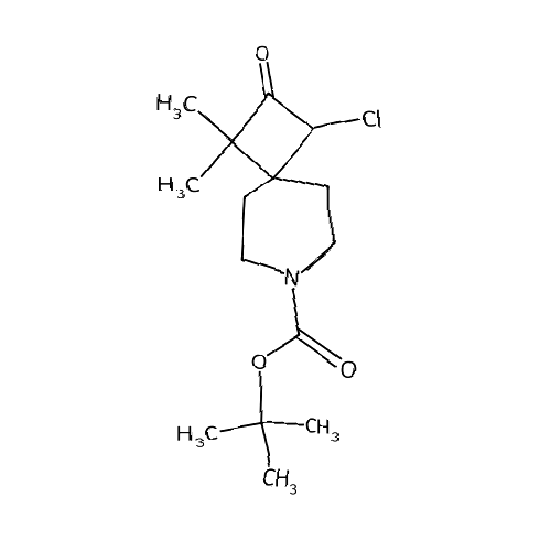 CC(C)(C)OC(=O)N1CCC2(CC1)C(Cl)C(=O)C2(C)C